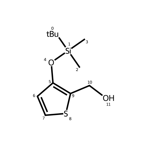 CC(C)(C)[Si](C)(C)Oc1ccsc1CO